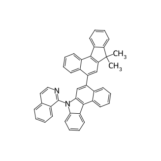 CC1(C)c2ccccc2-c2c1cc(-c1cc3c(c4ccccc14)c1ccccc1n3-c1nccc3ccccc13)c1ccccc21